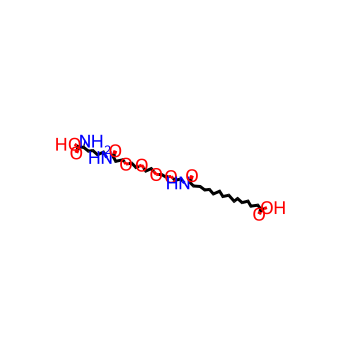 N[C@@H](CCCCNC(=O)CCOCCOCCOCCOCCNC(=O)CCCCCCCCCCCCCCC(=O)O)C(=O)O